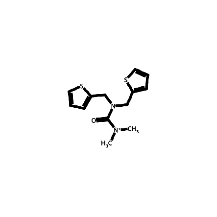 C[N+](C)C(=O)N(Cc1cccs1)Cc1cccs1